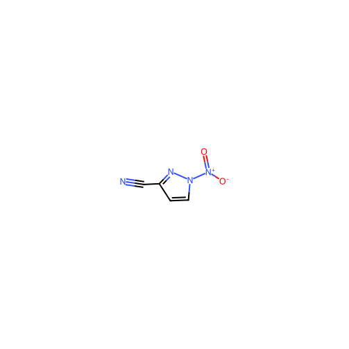 N#Cc1ccn([N+](=O)[O-])n1